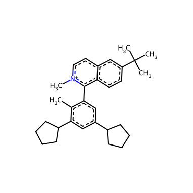 Cc1c(-c2c3ccc(C(C)(C)C)cc3cc[n+]2C)cc(C2CCCC2)cc1C1CCCC1